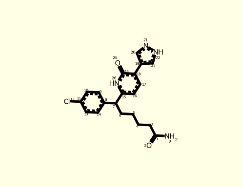 NC(=O)CCCCC(c1ccc(Cl)cc1)c1ccc(-c2cn[nH]c2)c(=O)[nH]1